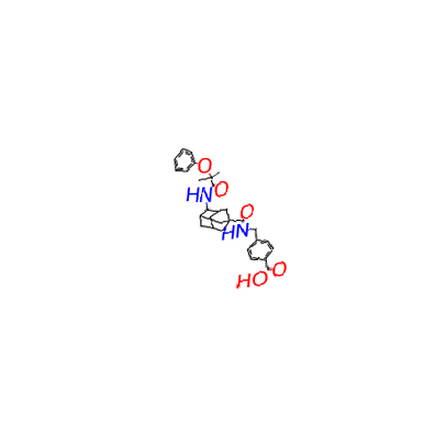 CC(C)(Oc1ccccc1)C(=O)NC1C2CC3CC1CC(C(=O)NCc1ccc(C(=O)O)cc1)(C3)C2